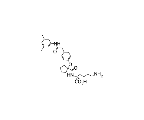 Cc1cc(C)cc(NC(=O)Cc2ccc(OC3(C(=O)N[C@@H](CCCCN)C(=O)O)CCCC3)cc2)c1